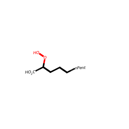 CCCCCCCCC(OO)C(=O)O